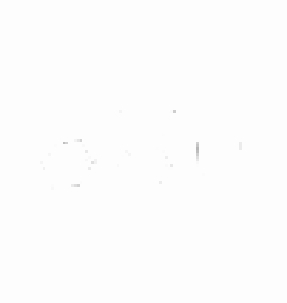 CC(C)(C)CC(C)(C)c1ccc(-c2ccccc2)c(C(=O)O)c1O